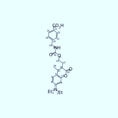 CCN(CC)c1ccc2c(c1)OC(=O)C(CCOC(=O)NCc1ccc(C(=O)O)cc1)C2C